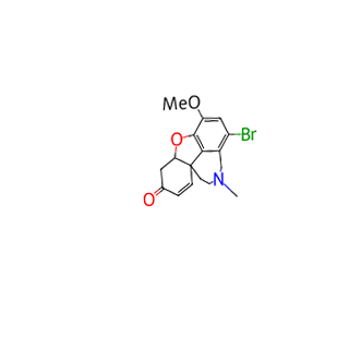 COc1cc(Br)c2c3c1OC1CC(=O)C=CC31CCN(C)C2